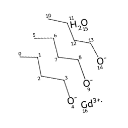 CCCC[O-].CCCC[O-].CCCC[O-].O.[Gd+3]